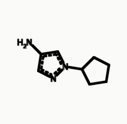 Nc1cnn(C2CCCC2)c1